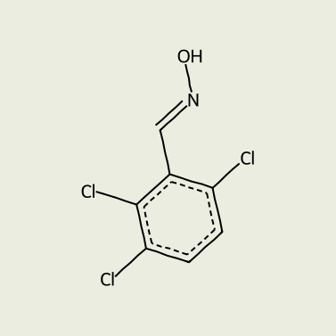 ON=Cc1c(Cl)ccc(Cl)c1Cl